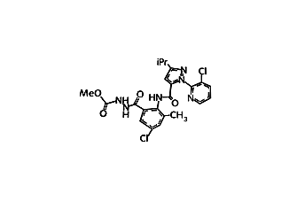 COC(=O)NNC(=O)c1cc(Cl)cc(C)c1NC(=O)c1cc(C(C)C)nn1-c1ncccc1Cl